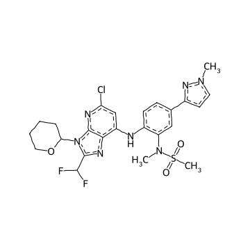 CN(c1cc(-c2ccn(C)n2)ccc1Nc1cc(Cl)nc2c1nc(C(F)F)n2C1CCCCO1)S(C)(=O)=O